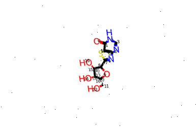 O=c1[nH]cnc2nc(C3O[C@H](CO)[C@@H](O)[C@H]3O)sc12